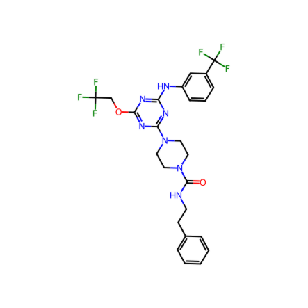 O=C(NCCc1ccccc1)N1CCN(c2nc(Nc3cccc(C(F)(F)F)c3)nc(OCC(F)(F)F)n2)CC1